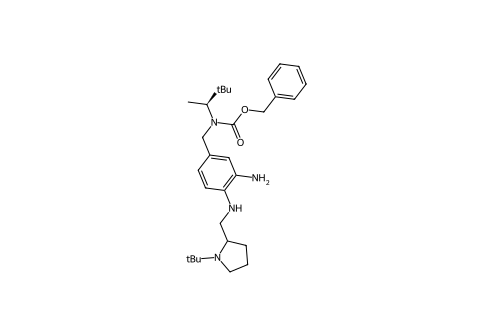 C[C@H](N(Cc1ccc(NCC2CCCN2C(C)(C)C)c(N)c1)C(=O)OCc1ccccc1)C(C)(C)C